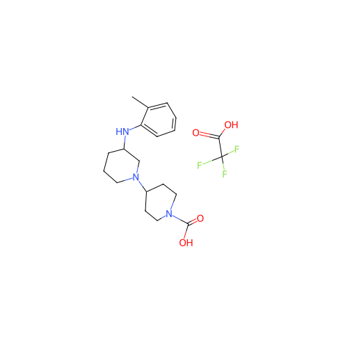 Cc1ccccc1NC1CCCN(C2CCN(C(=O)O)CC2)C1.O=C(O)C(F)(F)F